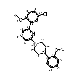 COc1ccc(Cl)cc1-c1cncc(N2CCN(c3ccccc3OC)CC2)n1